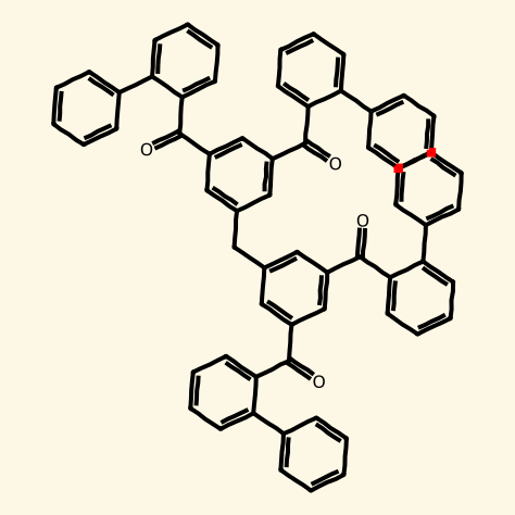 O=C(c1cc(Cc2cc(C(=O)c3ccccc3-c3ccccc3)cc(C(=O)c3ccccc3-c3ccccc3)c2)cc(C(=O)c2ccccc2-c2ccccc2)c1)c1ccccc1-c1ccccc1